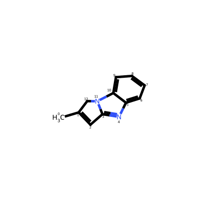 CC1=Cc2nc3ccccc3n2C1